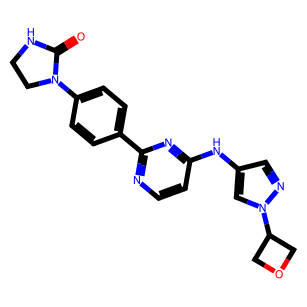 O=C1NCCN1c1ccc(-c2nccc(Nc3cnn(C4COC4)c3)n2)cc1